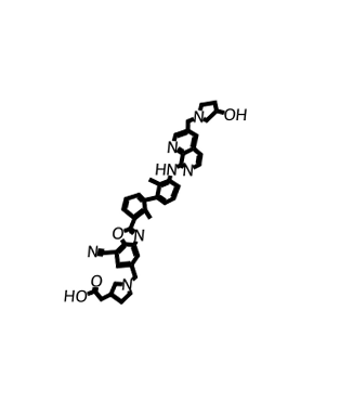 Cc1c(Nc2nccc3cc(CN4CCC(O)C4)cnc23)cccc1-c1cccc(-c2nc3cc(CN4CCC(CC(=O)O)C4)cc(C#N)c3o2)c1C